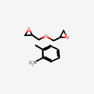 C(OCC1CO1)C1CO1.Cc1ccccc1[N+](=O)[O-]